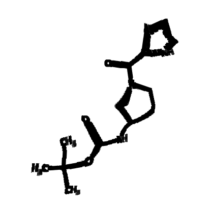 CC(C)(C)OC(=O)NC1CCN(C(=O)c2ncc[nH]2)C1